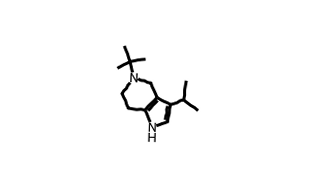 CC(C)c1c[nH]c2c1CN(C(C)(C)C)CC2